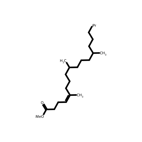 COC(=O)CCC=C(C)CCCC(C)CCCC(C)CCCC(C)C